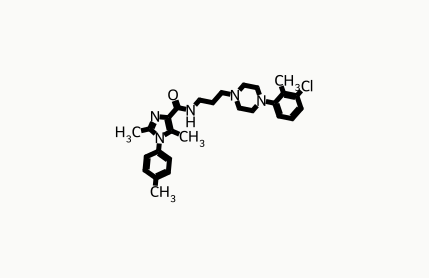 Cc1ccc(-n2c(C)nc(C(=O)NCCCN3CCN(c4cccc(Cl)c4C)CC3)c2C)cc1